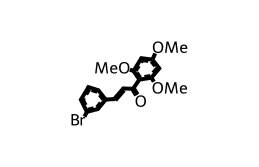 COc1cc(OC)c(C(=O)C=Cc2cccc(Br)c2)c(OC)c1